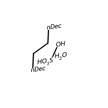 CCCCCCCCCCCCCCCCCCCCCC.O.O=S(=O)(O)O